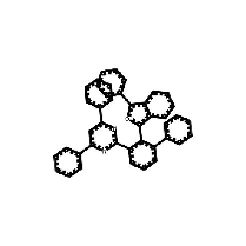 c1ccc(-c2cc(-c3ccccc3)nc(-c3cccc(-c4ccccc4)c3-c3oc(-c4ccccc4)c4ccccc34)n2)cc1